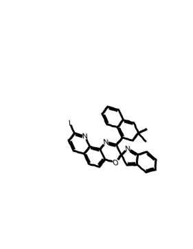 CC1(C)C=c2ccccc2=C(C2=Nc3c(ccc4ccc(I)nc34)OC23C=c2ccccc2=N3)C1